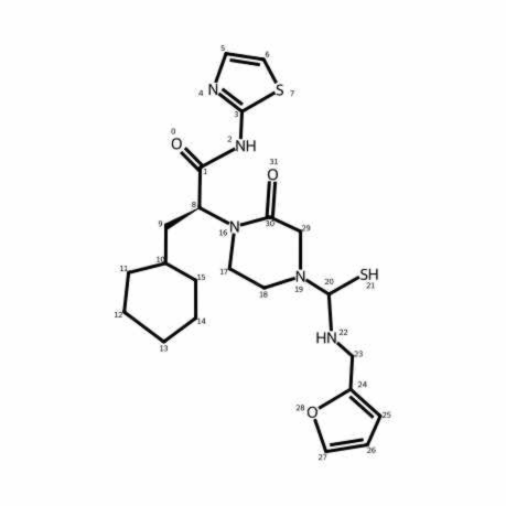 O=C(Nc1nccs1)[C@H](CC1CCCCC1)N1CCN(C(S)NCc2ccco2)CC1=O